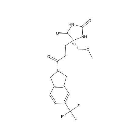 COC[C@@]1(CCC(=O)N2Cc3ccc(C(F)(F)F)cc3C2)NC(=O)NC1=O